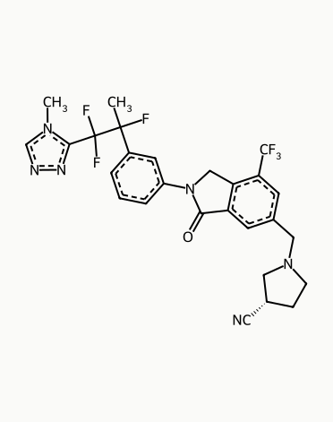 Cn1cnnc1C(F)(F)C(C)(F)c1cccc(N2Cc3c(cc(CN4CC[C@H](C#N)C4)cc3C(F)(F)F)C2=O)c1